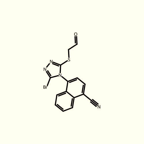 N#Cc1ccc(-n2c(Br)nnc2SCC=O)c2ccccc12